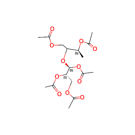 CC(=O)OCC(O[C@@H](OC(C)=O)[C@H](COC(C)=O)OC(C)=O)[C@H](C)OC(C)=O